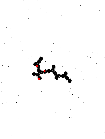 C1=C=C(n2c3ccccc3c3cc(-c4ccc5c(c4)c4ccccc4n5-c4ccc(-c5cc(-c6ccccc6)cc(-c6ccc(-c7ccc(-c8ccc9c(c8)c8cc(-c%10ccc%11c(c%10)c%10ccccc%10n%11-c%10ccc(-c%11ccccc%11)cc%10)ccc8n9-c8cc(-c9ccccc9)cc(-c9ccccc9)c8)cc7)cc6)c5)cc4)ccc32)C=CC=1c1ccccc1